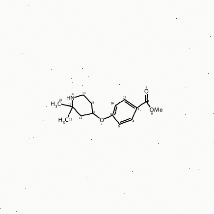 COC(=O)c1ccc(OC2CCNC(C)(C)C2)cc1